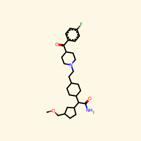 COCC1CCC(C(C(N)=O)C2CCC(CCN3CCC(C(=O)c4ccc(F)cc4)CC3)CC2)C1